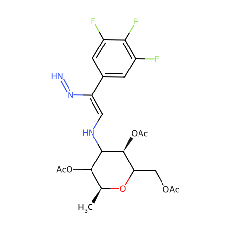 CC(=O)OCC1O[C@@H](C)C(OC(C)=O)C(N/C=C(\N=N)c2cc(F)c(F)c(F)c2)[C@H]1OC(C)=O